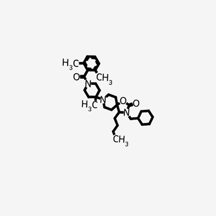 CCCCC1N(CC2CCCCC2)C(=O)OC12CCN(C1(C)CCN(C(=O)c3c(C)cccc3C)CC1)CC2